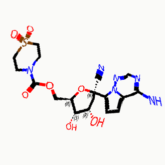 N#C[C@@]1(c2ccc3c(N)ncnn23)O[C@H](COC(=O)N2CCS(=O)(=O)CC2)[C@@H](O)[C@H]1O